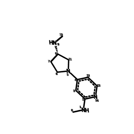 CNc1cc(N2CC[C@H](NC)C2)ccn1